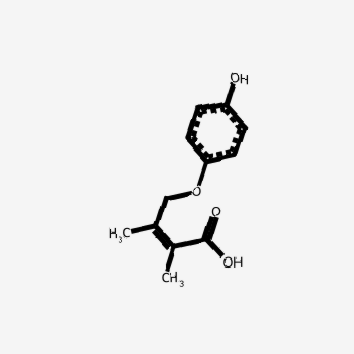 CC(COc1ccc(O)cc1)=C(C)C(=O)O